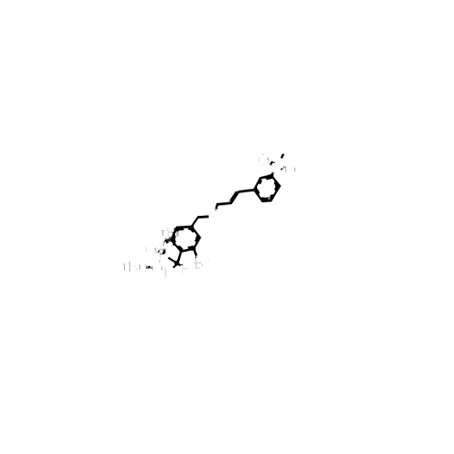 CC(C)(C)OP(=O)(OC(C)(C)C)C(F)(F)c1ccc(CSC/C=C/c2cccc(S(C)(=O)=O)c2)cc1Br